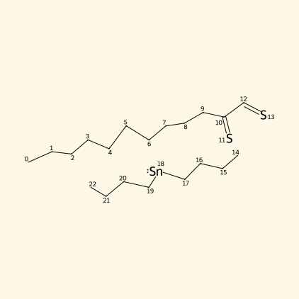 CCCCCCCCCCC(=S)C=S.CCC[CH2][Sn][CH2]CCC